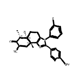 CC(C)c1ccc(-c2nc3c(n2-c2cccc(F)c2)CC[C@@H]2[C@@H](C)C(=O)C(C#N)=C[C@@]32C)cc1